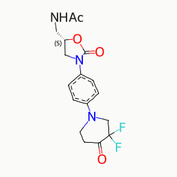 CC(=O)NC[C@H]1CN(c2ccc(N3CCC(=O)C(F)(F)C3)cc2)C(=O)O1